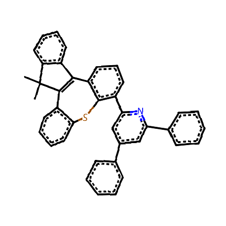 CC1(C)C2=C(c3ccccc31)c1cccc(-c3cc(-c4ccccc4)cc(-c4ccccc4)n3)c1Sc1ccccc12